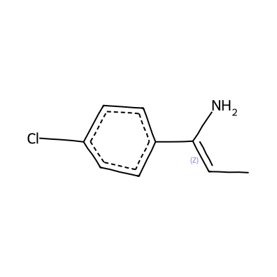 C/C=C(\N)c1ccc(Cl)cc1